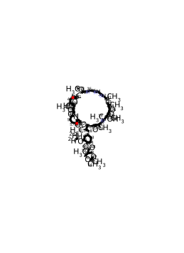 [2H]C([2H])([2H])O[C@@H]1C[C@H](C[C@@H](C)[C@@H]2CC(=O)[C@H](C)/C=C(\C)[C@@H](O)[C@@H](OC)C(=O)[C@H](C)C[C@H](C)/C=C/C=C/C=C/[C@@H](OC)C[C@@H]3CC[C@@H](C)[C@@](O)(O3)C(=O)C(=O)N3CCCC[C@H]3C(=O)O2)CC[C@H]1OC(=O)C1(C)COC(C)(C)OC1